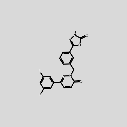 O=c1[nH]nc(-c2cccc(Cn3nc(-c4cc(F)cc(F)c4)ccc3=O)c2)o1